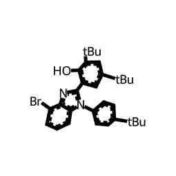 CC(C)(C)c1ccc(-n2c(-c3cc(C(C)(C)C)cc(C(C)(C)C)c3O)nc3c(Br)cccc32)cc1